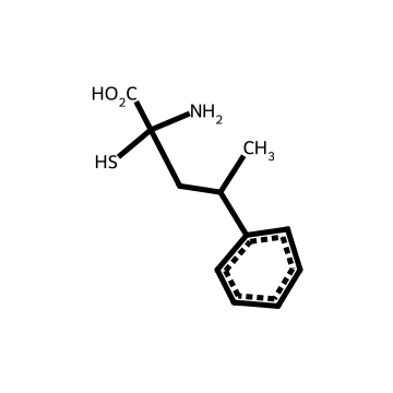 CC(CC(N)(S)C(=O)O)c1ccccc1